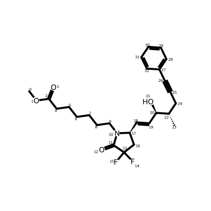 COC(=O)CCCCCCN1C(=O)C(F)(F)C[C@@H]1C=C[C@@H](O)[C@@H](C)CC#Cc1ccccc1